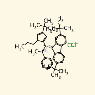 CCCC1C=C(C(C)(C)C)C=[C]1/[Zr+2](=[C](\C)c1ccccc1)[CH]1c2cc(C(C)(C)C)ccc2-c2ccc(C(C)(C)C)cc21.[Cl-].[Cl-]